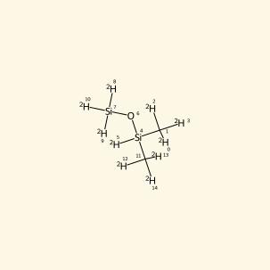 [2H]C([2H])([2H])[Si]([2H])(O[Si]([2H])([2H])[2H])C([2H])([2H])[2H]